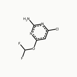 Nc1nc(Cl)cc(OC(F)F)n1